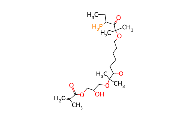 C=C(C)C(=O)OCC(O)COC(C)(C)C(=O)CCCCCOC(C)(C)C(=O)C(P)CC